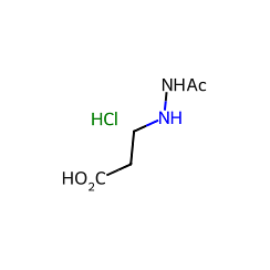 CC(=O)NNCCC(=O)O.Cl